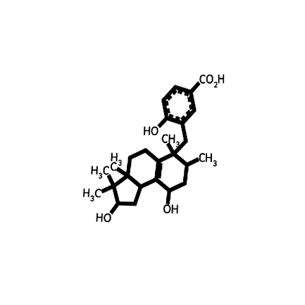 CC1CC(O)C2=C(CCC3(C)C2CC(O)C3(C)C)C1(C)Cc1cc(C(=O)O)ccc1O